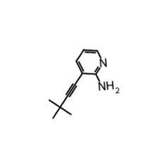 CC(C)(C)C#Cc1cccnc1N